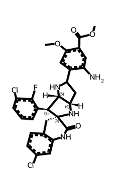 COC(=O)c1cc(N)c(C2C[C@@H]3N[C@]4(Cc5ccc(Cl)cc5NC4=O)[C@@H](c4cccc(Cl)c4F)[C@@H]3N2)cc1OC